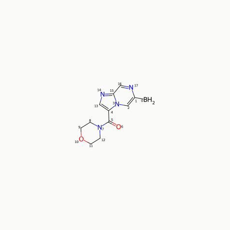 Bc1cn2c(C(=O)N3CCOCC3)cnc2cn1